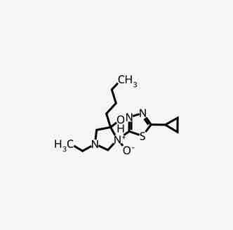 CCCCC1(O)CN(CC)C[N+]1([O-])c1nnc(C2CC2)s1